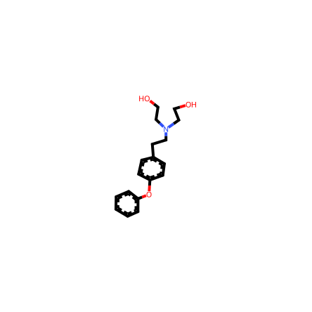 OCCN(CCO)CCc1ccc(Oc2ccccc2)cc1